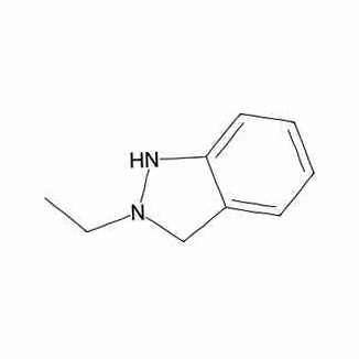 CCN1Cc2ccccc2N1